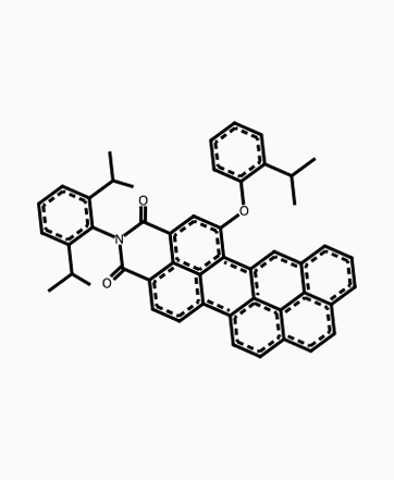 CC(C)c1ccccc1Oc1cc2c3c(ccc4c5ccc6ccc7cccc8cc(c1c34)c5c6c78)C(=O)N(c1c(C(C)C)cccc1C(C)C)C2=O